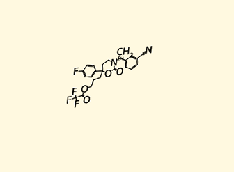 C[C@@H](c1cccc(C#N)c1)N1CCC(CCCOC(=O)C(F)(F)F)(c2ccc(F)cc2)OC1=O